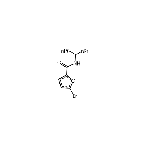 CCCC(CCC)NC(=O)c1ccc(Br)o1